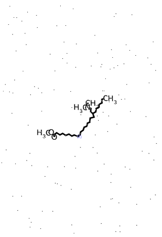 CCCCCCCC(CCCCCCCC/C=C\CCCCCCCC(=O)OC)CCN(C)C